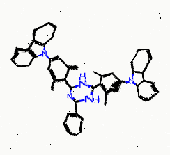 CC1=CC(n2c3c(c4c2CCCC4)C=CCC3)=CC(C)C1C1N=C(c2ccccc2)NC(c2c(C)cc(N3C4C=CC=CC4C4C=CCCC43)cc2C)N1